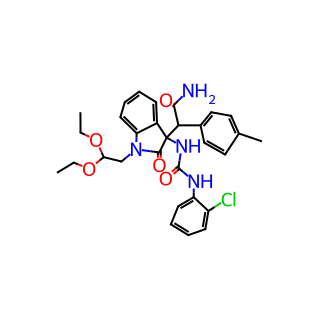 CCOC(CN1C(=O)C(NC(=O)Nc2ccccc2Cl)(C(C(N)=O)c2ccc(C)cc2)c2ccccc21)OCC